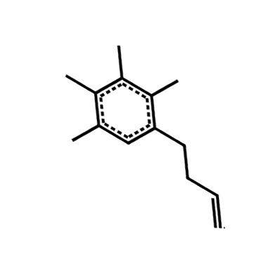 [CH]=CCCc1cc(C)c(C)c(C)c1C